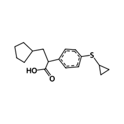 O=C(O)C(CC1CCCC1)c1ccc(SC2CC2)cc1